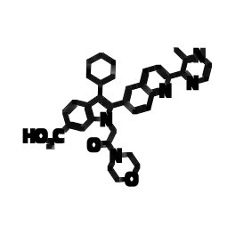 Cc1nccnc1-c1ccc2cc(-c3c(C4CCCCC4)c4ccc(C(=O)O)cc4n3CC(=O)N3CCOCC3)ccc2n1